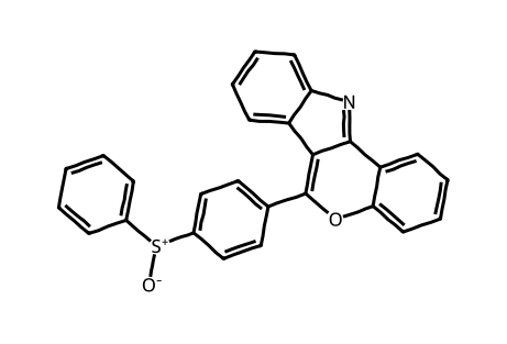 [O-][S+](c1ccccc1)c1ccc(-c2oc3ccccc3c3nc4ccccc4c2-3)cc1